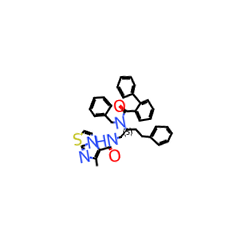 Cc1nc2sccn2c1C(=O)NC[C@H](CCc1ccccc1)N(Cc1ccccc1)C(=O)c1ccccc1-c1ccccc1